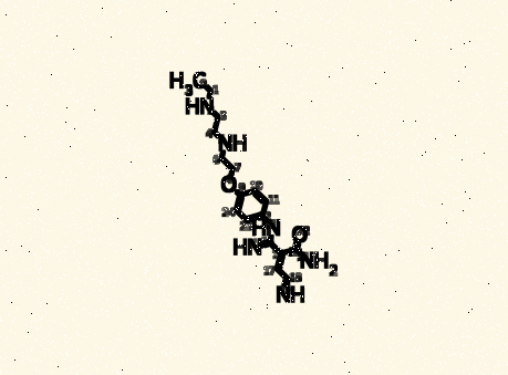 CCNCCNCCOc1ccc(NC(=N)/C(=C/C=N)C(N)=O)cc1